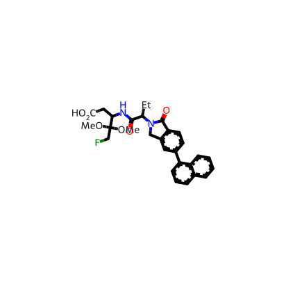 CCC(C(=O)NC(CC(=O)O)C(CF)(OC)OC)N1Cc2cc(-c3cccc4ccccc34)ccc2C1=O